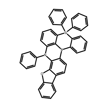 c1ccc(N2c3cccc4c3B(c3ccccc3[Si]4(c3ccccc3)c3ccccc3)c3ccc4c(oc5ccccc54)c32)cc1